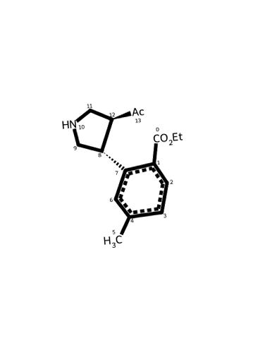 CCOC(=O)c1ccc(C)cc1[C@@H]1CNC[C@H]1C(C)=O